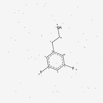 Fc1cc(F)cc(CCS)c1